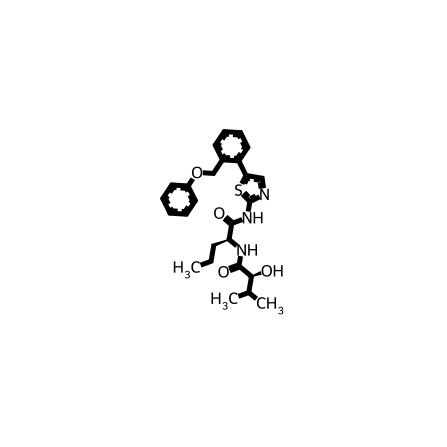 CCC[C@H](NC(=O)[C@@H](O)C(C)C)C(=O)Nc1ncc(-c2ccccc2COc2ccccc2)s1